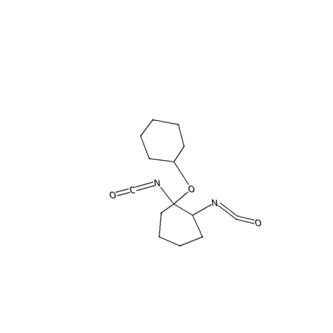 O=C=NC1CCCCC1(N=C=O)OC1CCCCC1